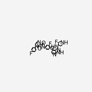 O=C(Nc1ccc(Oc2ccnc3[nH]nc(N[C@H]4CCNC[C@@H]4F)c23)c(F)c1)c1nccn(-c2ccc(F)cc2)c1=O